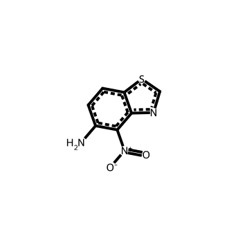 Nc1ccc2scnc2c1[N+](=O)[O-]